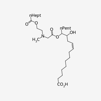 CCCCCCCC(=O)OCCN(C)CC(=O)OC(CCCCC)C(O)C/C=C\CCCCCCCC(=O)O